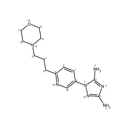 Nc1nc(N)n(-c2ccc(CCCN3CCOCC3)nc2)n1